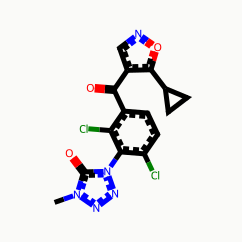 Cn1nnn(-c2c(Cl)ccc(C(=O)c3cnoc3C3CC3)c2Cl)c1=O